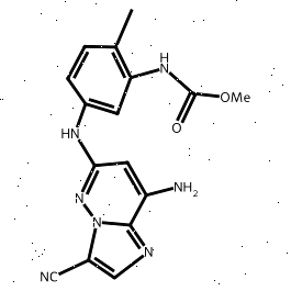 COC(=O)Nc1cc(Nc2cc(N)c3ncc(C#N)n3n2)ccc1C